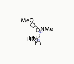 C=C/C(F)=C(\CC/C=C(/NC)OCc1cccc(OC)c1)NO